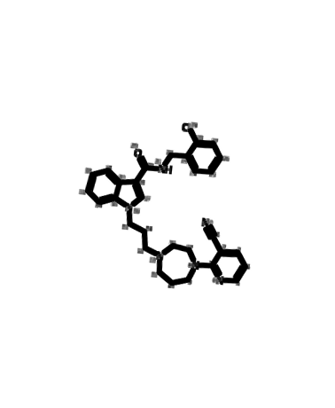 N#Cc1cccnc1N1CCCN(CCCn2cc(C(=O)NCc3ccccc3Cl)c3ccccc32)CC1